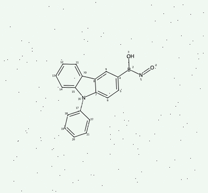 O=NB(O)c1ccc2c(c1)c1ccccc1n2-c1ccccc1